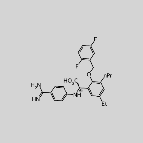 CCCc1cc(CC)cc([C@@H](Nc2ccc(C(=N)N)cc2)C(=O)O)c1OCc1cc(F)ccc1F